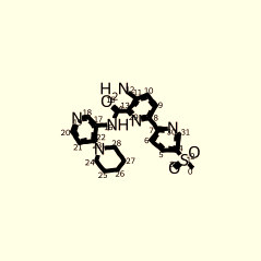 CS(=O)(=O)c1ccc(-c2ccc(N)c(C(=O)Nc3cnccc3N3CCCCC3)n2)nc1